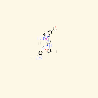 CNc1ccc(-n2ccn(-c3c4c(nn3-c3cc(C)c(F)c(C)c3)CCN(C(=O)c3cc5c(F)c(C6CCOCC6)ccc5n3[C@@]3(C(=N)NC(=O)O)C[C@@H]3C)[C@H]4C)c2=O)cc1C=N